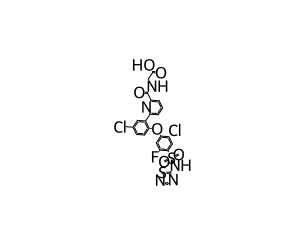 O=C(O)CNC(=O)c1cccc(-c2cc(Cl)ccc2Oc2cc(F)c(S(=O)(=O)Nc3ncns3)cc2Cl)n1